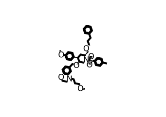 COCCCN1CCOc2ccc(CO[C@H]3CN(S(=O)(=O)c4ccc(C)cc4)[C@H](COCCCc4ccccc4)C[C@@H]3c3ccc(OC)cc3)cc21